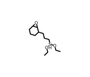 CCO[SiH](CCCC1CCCC2OC12)OCC